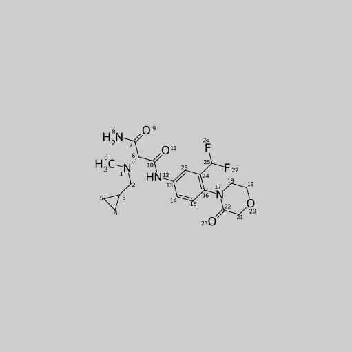 CN(CC1CC1)[C@H](C(N)=O)C(=O)Nc1ccc(N2CCOCC2=O)c(C(F)F)c1